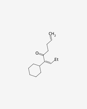 C=CCCC(=O)C(=CCC)C1CCCCC1